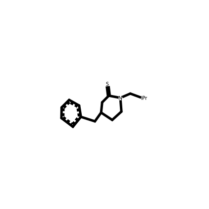 CC(C)CN1CCC(Cc2ccccc2)CC1=S